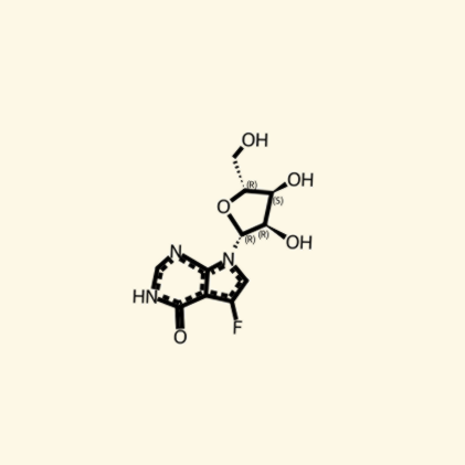 O=c1[nH]cnc2c1c(F)cn2[C@@H]1O[C@H](CO)[C@@H](O)[C@H]1O